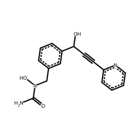 NC(=O)N(O)Cc1cccc(C(O)C#Cc2ccccn2)c1